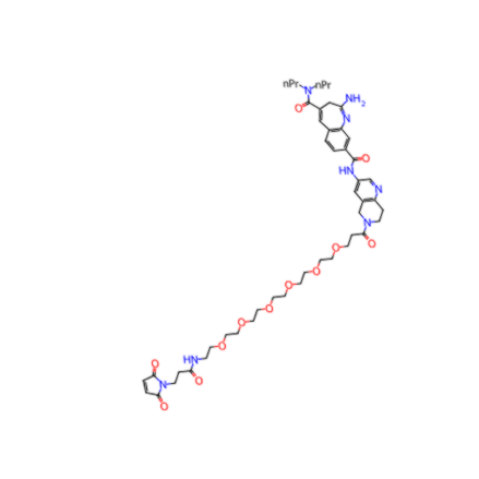 CCCN(CCC)C(=O)C1=Cc2ccc(C(=O)Nc3cnc4c(c3)CN(C(=O)CCOCCOCCOCCOCCOCCOCCNC(=O)CCN3C(=O)C=CC3=O)CC4)cc2N=C(N)C1